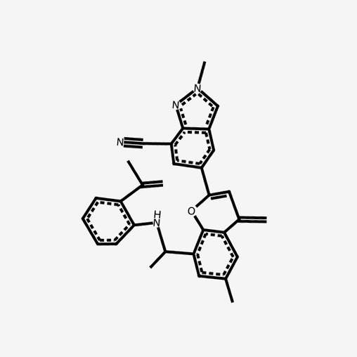 C=C(C)c1ccccc1NC(C)c1cc(C)cc2c1OC(c1cc(C#N)c3nn(C)cc3c1)=CC2=C